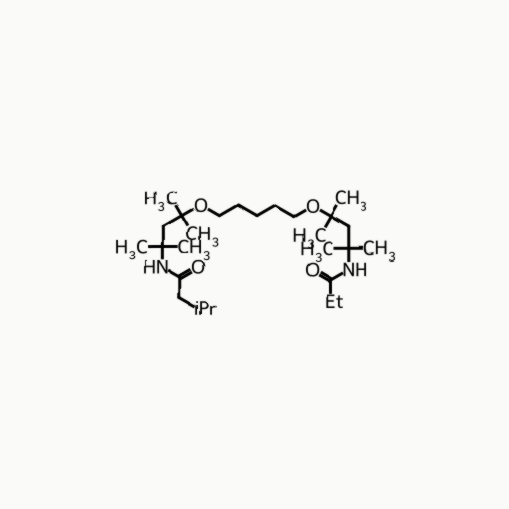 CCC(=O)NC(C)(C)CC(C)(C)OCCCCCOC(C)(C)CC(C)(C)NC(=O)CC(C)C